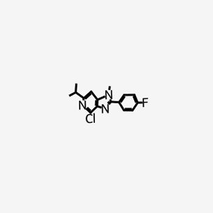 CC(C)c1cc2c(nc(-c3ccc(F)cc3)n2C)c(Cl)n1